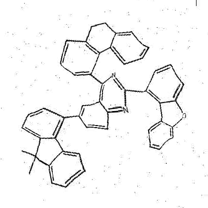 CC1(C)c2ccccc2-c2c(-c3ccc4nc(-c5cccc6oc7ccccc7c56)nc(-c5cccc6c5-c5ccccc5CC6)c4c3)cccc21